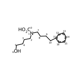 O=C(O)N(CCCCO)CCCCc1ccccc1